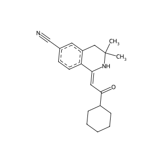 CC1(C)Cc2cc(C#N)ccc2/C(=C/C(=O)C2CCCCC2)N1